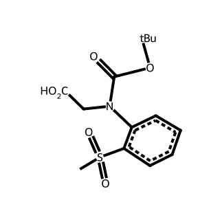 CC(C)(C)OC(=O)N(CC(=O)O)c1ccccc1S(C)(=O)=O